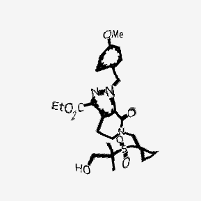 CCOC(=O)c1nn(Cc2ccc(OC)cc2)c2c1CCN(CC1(S(=O)(=O)C(C)(C)CO)CC1)C2=O